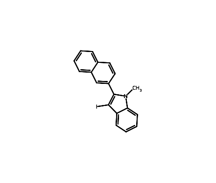 Cn1c(-c2ccc3ccccc3c2)c(I)c2ccccc21